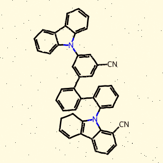 N#Cc1cc(-c2ccccc2-c2ccccc2-n2c3c(c4cccc(C#N)c42)C=CCC3)cc(-n2c3ccccc3c3ccccc32)c1